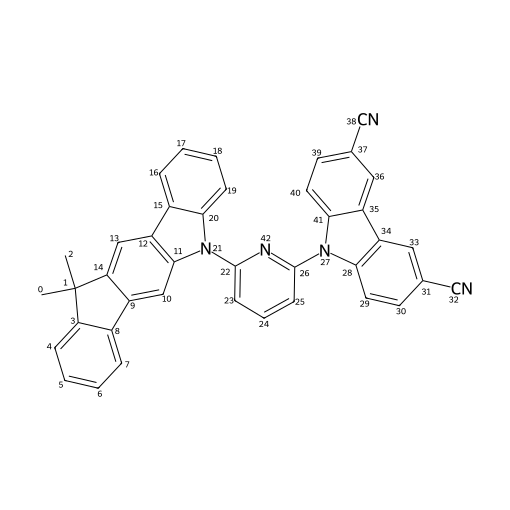 CC1(C)c2ccccc2-c2cc3c(cc21)c1ccccc1n3-c1cccc(-n2c3ccc(C#N)cc3c3cc(C#N)ccc32)n1